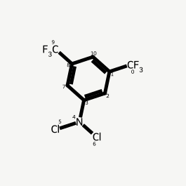 FC(F)(F)c1cc(N(Cl)Cl)cc(C(F)(F)F)c1